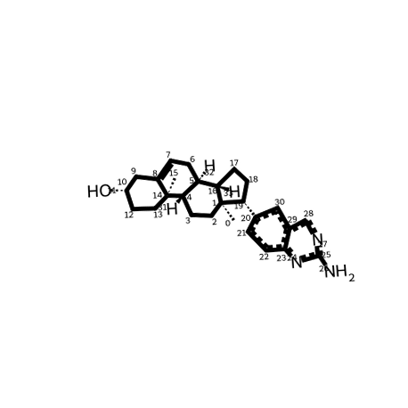 C[C@]12CC[C@H]3[C@@H](CC=C4C[C@@H](O)CC[C@@]43C)[C@@H]1CC[C@@H]2c1ccc2nc(N)ncc2c1